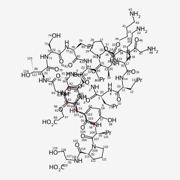 CC[C@H](C)[C@H](NC(=O)[C@H](CC(C)C)NC(=O)[C@H](CC(C)C)NC(=O)[C@H](CCCCN)NC(=O)[C@@H]1CCCN1C(=O)[C@H](C)NC(=O)[C@H](CCCCN)NC(=O)CN)C(=O)N[C@@H](Cc1ccc(O)cc1)C(=O)NCC(=O)N[C@H](C(=O)N[C@@H](CO)C(=O)N[C@@H](CC(C)C)C(=O)N[C@@H](CC(C)C)C(=O)N[C@@H](C)C(=O)N[C@@H](CCC(=O)O)C(=O)NCC(=O)N[C@H](C(=O)N1CCC[C@H]1C(=O)N[C@@H](CO)C(=O)O)C(C)C)[C@@H](C)O